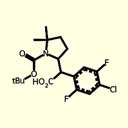 CC(C)(C)OC(=O)N1C(C(C(=O)O)c2cc(F)c(Cl)cc2F)CCC1(C)C